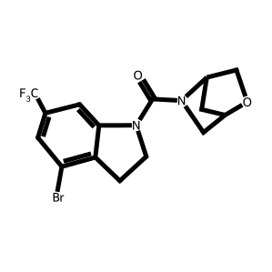 O=C(N1CCc2c(Br)cc(C(F)(F)F)cc21)N1CC2CC1CO2